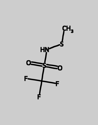 CSNS(=O)(=O)C(F)(F)F